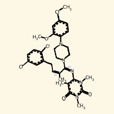 COc1ccc(N2CCN(C(=N/c3c(C)c(=O)n(C)c(=O)n3C)/C(C)=C\Cc3cc(Cl)ccc3Cl)CC2)c(OC)c1